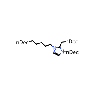 CCCCCCCCCCCCCCCN1C=CN(CCCCCCCCCC)C1CCCCCCCCCCC